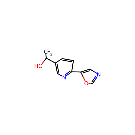 OC(c1ccc(-c2cnco2)nc1)C(F)(F)F